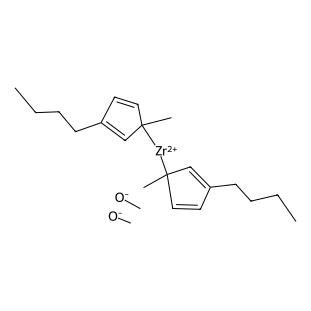 CCCCC1=C[C](C)([Zr+2][C]2(C)C=CC(CCCC)=C2)C=C1.C[O-].C[O-]